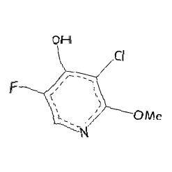 COc1ncc(F)c(O)c1Cl